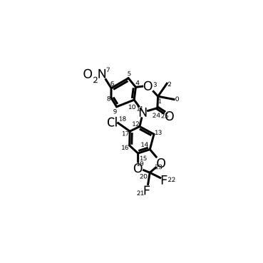 CC1(C)Oc2cc([N+](=O)[O-])ccc2N(c2cc3c(cc2Cl)OC(F)(F)O3)C1=O